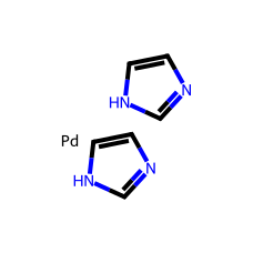 [Pd].c1c[nH]cn1.c1c[nH]cn1